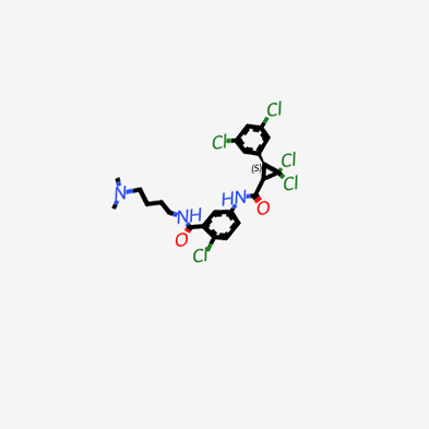 CN(C)CCCCNC(=O)c1cc(NC(=O)C2[C@@H](c3cc(Cl)cc(Cl)c3)C2(Cl)Cl)ccc1Cl